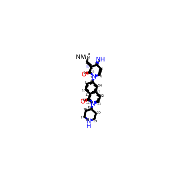 CN/C=C1\C(=N)C=CN(c2ccc3c(=O)n(C4CCNCC4)ccc3c2)C1=O